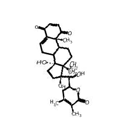 CC1=C(C)C(=O)OC([C@](C)(O)[C@]2(O)CC[C@@]3(O)C4CC=C5C(=O)C=CC(=O)[C@]5(C)C4CC[C@]23C)C1